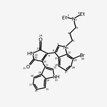 CCN(CC)CCCn1cc(C2=C(c3c[nH]c4ccccc34)C(=O)NC2=O)c2cccc(Br)c21